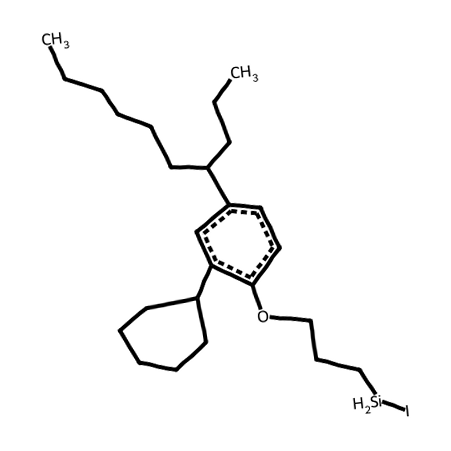 CCCCCCC(CCC)c1ccc(OCCC[SiH2]I)c(C2CCCCC2)c1